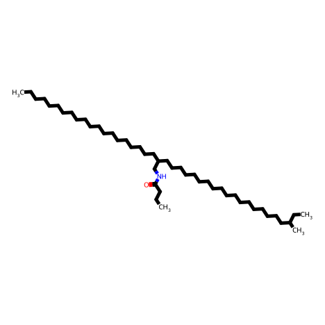 CCCCCCCCCCCCCCCCCCCCC(CCCCCCCCCCCCCCCCCCC(C)CC)CNC(=O)CCC